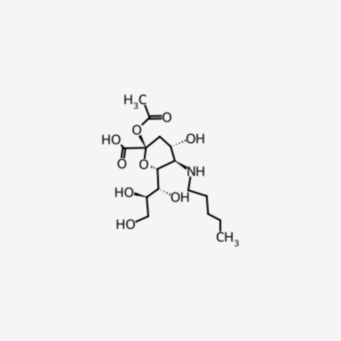 CCCCCN[C@H]1[C@H]([C@H](O)[C@H](O)CO)O[C@](OC(C)=O)(C(=O)O)C[C@@H]1O